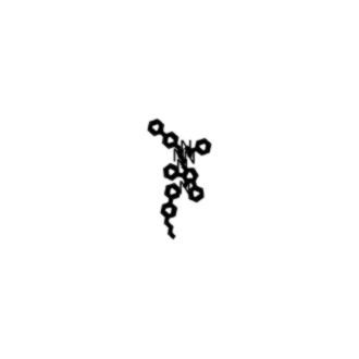 CCCCc1ccc(-c2cccc(-n3c4ccccc4c4ccc5c(c6ccccc6n5-c5nc(-c6ccccc6)nc(-c6ccc(-c7ccccc7)cc6)n5)c43)c2)cc1